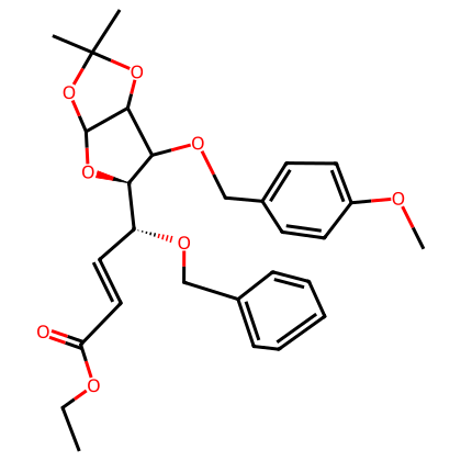 CCOC(=O)/C=C/[C@@H](OCc1ccccc1)[C@H]1OC2OC(C)(C)OC2C1OCc1ccc(OC)cc1